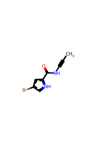 CC#CNC(=O)c1cc(Br)c[nH]1